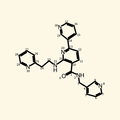 O=C(NCc1cccnc1)c1ccc(-c2cccnc2)nc1NCCc1ccccn1